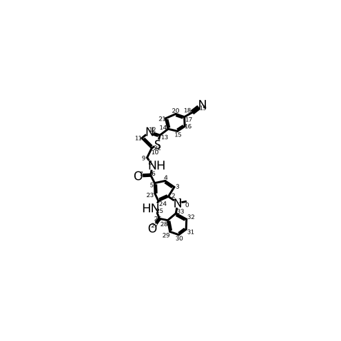 CN1c2ccc(C(=O)NCc3cnc(-c4ccc(C#N)cc4)s3)cc2NC(=O)c2ccccc21